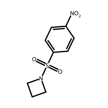 O=[N+]([O-])c1ccc(S(=O)(=O)N2CCC2)cc1